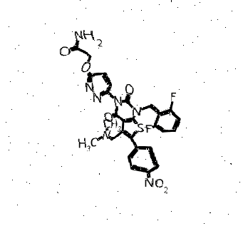 CN(C)Cc1c(-c2ccc([N+](=O)[O-])cc2)sc2c1c(=O)n(-c1ccc(OCC(N)=O)nn1)c(=O)n2Cc1c(F)cccc1F